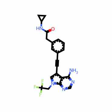 Nc1ncnc2c1c(C#Cc1cccc(CC(=O)NC3CC3)c1)cn2CC(F)(F)F